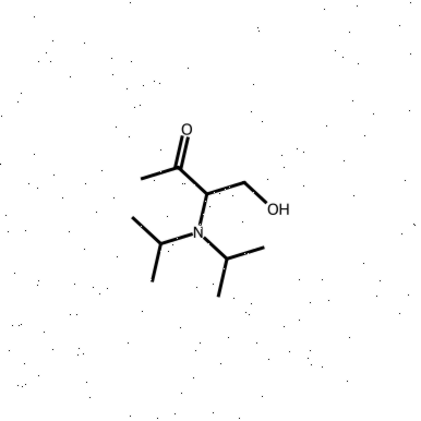 CC(=O)C(CO)N(C(C)C)C(C)C